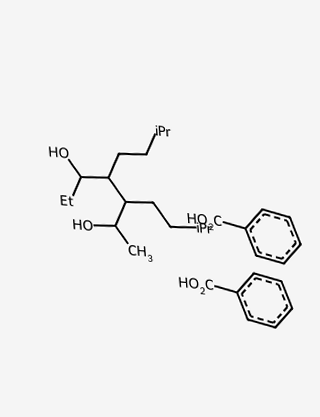 CCC(O)C(CCC(C)C)C(CCC(C)C)C(C)O.O=C(O)c1ccccc1.O=C(O)c1ccccc1